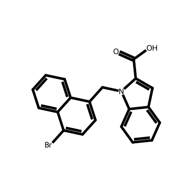 O=C(O)c1cc2ccccc2n1Cc1ccc(Br)c2ccccc12